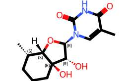 Cc1cn([C@@H]2O[C@H]3[C@@H](C)CCC[C@@]3(O)[C@H]2O)c(=O)[nH]c1=O